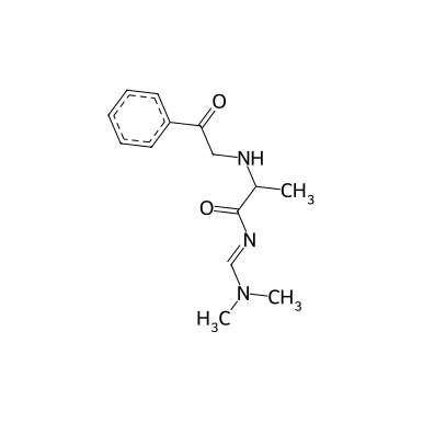 CC(NCC(=O)c1ccccc1)C(=O)/N=C/N(C)C